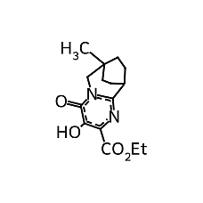 CCOC(=O)c1nc2n(c(=O)c1O)CC1(C)CCC2CC1